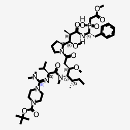 CC[C@H](C)[C@@H]([C@@H](CC(=O)N1CCC[C@H]1[C@H](OC)[C@@H](C)C(=O)N[C@@H](Cc1ccccc1)P(=O)(O)CC(=O)OC)OC)N(C)C(=O)[C@@H](/N=C(\N(C)C)N1CCN(C(=O)OC(C)(C)C)CC1)C(C)C